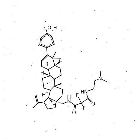 C=C(C)[C@@H]1CC[C@]2(CNC(=O)C(F)(F)C(=O)NCCN(C)C)CC[C@]3(C)[C@H](CC[C@@H]4[C@@]5(C)CC=C(c6ccc(C(=O)O)cc6)C(C)(C)[C@@H]5CC[C@]43C)[C@@H]12